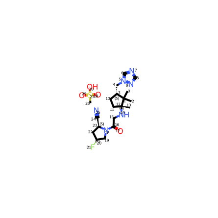 CC1(C)[C@@H](Cn2cncn2)CC[C@@]1(C)NCC(=O)N1C[C@H](F)C[C@H]1C#N.CS(=O)(=O)O